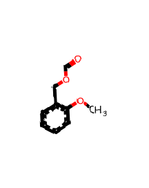 COc1ccccc1[CH]OC=O